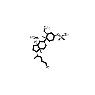 CC(=O)OC[C@H]1C[C@@H](O[Si](C)(C)C(C)(C)C)CC[C@]1(C)[C@H]1CC[C@]2(C)[C@@H](C(C)CCCC(C)C)CC[C@H]2[C@@H]1CO